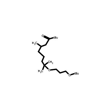 CC(CCCC(C)(C)OCCCOC(C)(C)C)CC(=O)C(C)(C)C